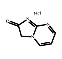 Cl.O=C1CN2C=CC=NC2=N1